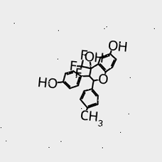 Cc1ccc(C2Oc3ccc(O)cc3C(O)(C(F)(F)F)C2c2ccc(O)cc2)cc1